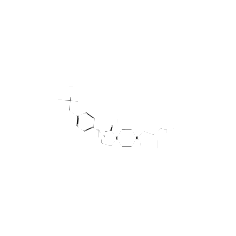 COCCCC1(O)CCC2(CCN(c3ccc(CC(F)(F)F)cc3)C2=O)CC1